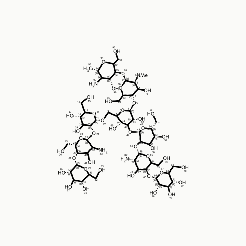 CN[C@H]1C(O)[C@H](O[C@@H]2OC(CO[C@H]3OC(CO)[C@@H](O)C(O)[C@H]3O[C@@H]3O[C@@H](CO)[C@@H](O[C@@H]4OC(CO)[C@H](O)C(O)[C@@H]4O)C(O)C3N)[C@@H](O)C(O[C@H]3O[C@H](CO)[C@@H](O)C(O)C3O[C@@H]3OC(CO)[C@@H](O[C@@H]4OC(CO)[C@H](O)C(O)[C@@H]4O)C(O)[C@@H]3N)[C@H]2O)C(CO)O[C@H]1O[C@@H]1C(CO)O[C@@H](C)C(N)[C@H]1O